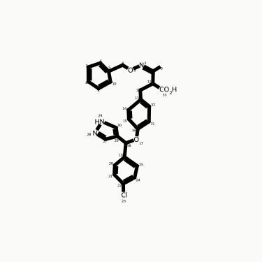 CC(=NOCc1ccccc1)C(Cc1ccc(OC(c2ccc(Cl)cc2)c2cn[nH]c2)cc1)C(=O)O